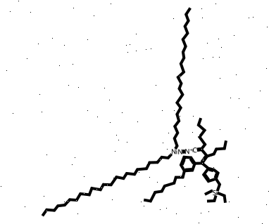 CCCCCCCCCCCCCCCCCCCCCC[CH2][Ni][CH2]CCCCCCCCCCCCCCCCCCCCCC.CCCCCCCCc1cccc(C(=C(CCCC)C(=C=[N+]=[N-])CCCCC)c2ccc(C[Si](CC)(CC)CC)cc2)c1